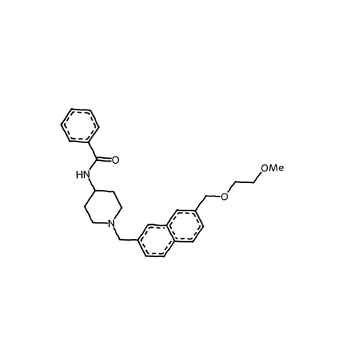 COCCOCc1ccc2ccc(CN3CCC(NC(=O)c4ccccc4)CC3)cc2c1